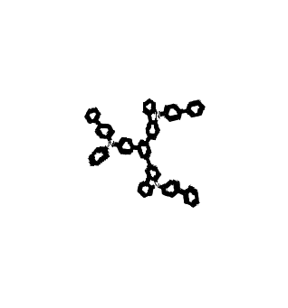 c1ccc(-c2ccc(N(c3ccccc3)c3ccc(-c4cc(-c5ccc6c(c5)c5ccccc5n6-c5ccc(-c6ccccc6)cc5)cc(-c5ccc6c(c5)c5ccccc5n6-c5ccc(-c6ccccc6)cc5)c4)cc3)cc2)cc1